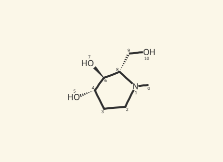 CN1CC[C@H](O)[C@@H](O)[C@@H]1CO